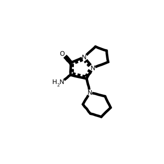 Nc1c(N2CCCCC2)n2n(c1=O)CCC2